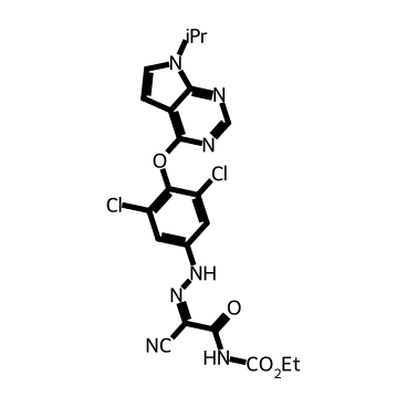 CCOC(=O)NC(=O)C(C#N)=NNc1cc(Cl)c(Oc2ncnc3c2ccn3C(C)C)c(Cl)c1